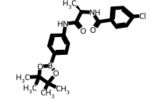 C[C@@H](NC(=O)c1ccc(Cl)cc1)C(=O)Nc1ccc(B2OC(C)(C)C(C)(C)O2)cc1